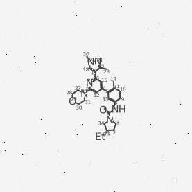 CC[C@@H]1CCN(C(=O)Nc2ccc(C)c(-c3cc(-c4cn(C)nc4C)nc(N4CCOCC4)c3)c2)C1